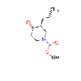 C=CC[C@H]1CN(C(=O)OC(C)(C)C)CCC1=O